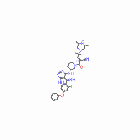 CC1CN(C(C)(C)/C=C(\C#N)C(=O)N2CCCC(Nc3ncnc(N)c3C(=N)c3ccc(Oc4ccccc4)cc3F)C2)CC(C)N1C